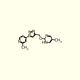 CC1=CNC(OCc2cn(-c3ccnc(C)c3)nn2)N=C1